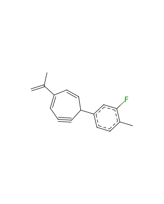 C=C(C)C1=CC#CC(c2ccc(C)c(F)c2)C=C1